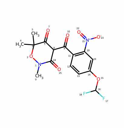 CN1OC(C)(C)C(=O)C(C(=O)c2ccc(OC(F)F)cc2[N+](=O)[O-])C1=O